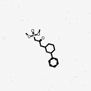 COP(=O)(CC(=O)CC1CCCC(c2ccccc2)C1)OC